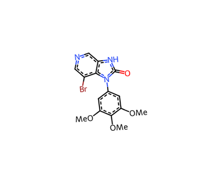 COc1cc(-n2c(=O)[nH]c3cncc(Br)c32)cc(OC)c1OC